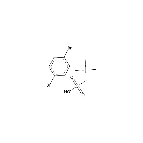 Brc1ccc(Br)cc1.CC(C)(C)CS(=O)(=O)O